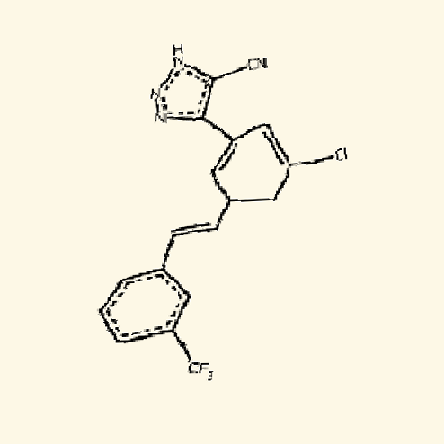 N#Cc1[nH]nnc1C1=CC(/C=C/c2cccc(C(F)(F)F)c2)CC(Cl)=C1